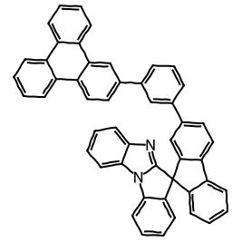 c1cc(-c2ccc3c(c2)C2(c4ccccc4-3)c3ccccc3-n3c2nc2ccccc23)cc(-c2ccc3c4ccccc4c4ccccc4c3c2)c1